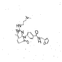 Cc1nc(NCCCN(C)C)nc2c1ccc(=O)n2-c1ccc(C(=O)NCc2ccco2)cc1